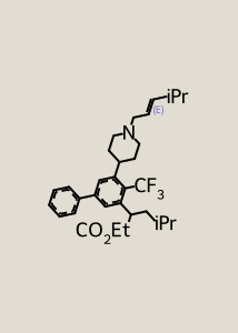 CCOC(=O)C(CC(C)C)c1cc(-c2ccccc2)cc(C2CCN(C/C=C/C(C)C)CC2)c1C(F)(F)F